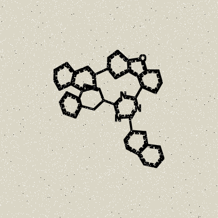 C1=CC(c2nc(-c3ccc4ccccc4c3)nc(-c3cccc4oc5ccc(-c6ccc7ccccc7c6)cc5c34)n2)Cc2ccccc21